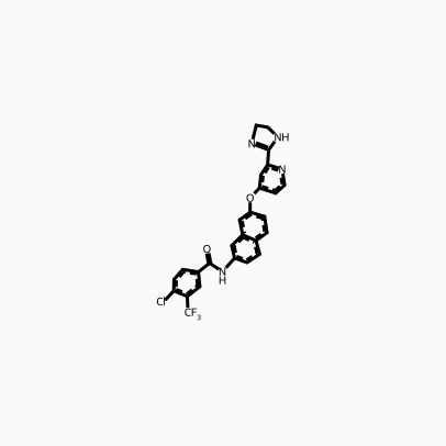 O=C(Nc1ccc2ccc(Oc3ccnc(C4=NCCN4)c3)cc2c1)c1ccc(Cl)c(C(F)(F)F)c1